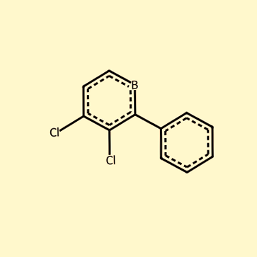 Clc1ccbc(-c2ccccc2)c1Cl